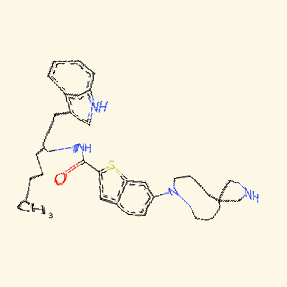 CCCCC(Cc1c[nH]c2ccccc12)NC(=O)c1cc2ccc(N3CCC4(CC3)CNC4)cc2s1